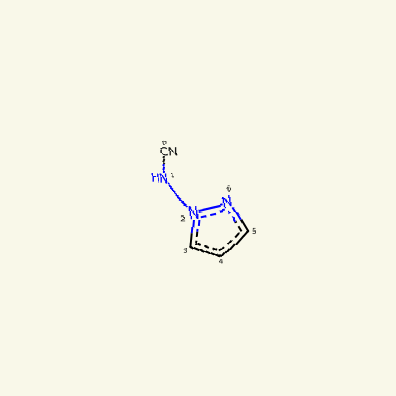 N#CNn1cccn1